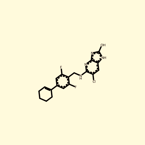 Oc1nc2nc(NCc3c(F)cc(C4=CCCCC4)cc3F)c(Cl)cc2[nH]1